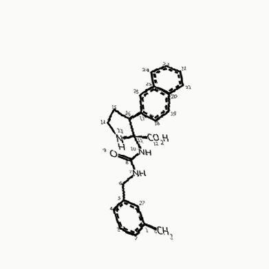 Cc1cccc(CNC(=O)N[C@]2(C(=O)O)NCCC2c2ccc3ccccc3c2)c1